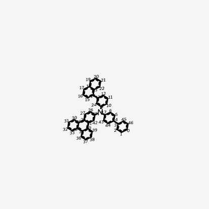 c1ccc(-c2ccc(N(c3cccc(-c4cccc5ccccc45)c3)c3ccc4c5ccccc5c5ccccc5c4c3)cc2)cc1